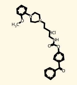 COc1ccccc1N1CCN(CCCCNC(=O)Oc2ccc(C(=O)c3ccccc3)cc2)CC1.Cl